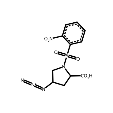 [N-]=[N+]=NC1CC(C(=O)O)N(S(=O)(=O)c2ccccc2[N+](=O)[O-])C1